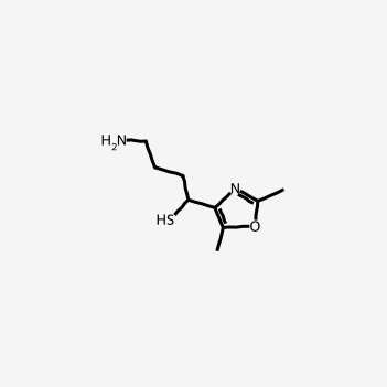 Cc1nc(C(S)CCCN)c(C)o1